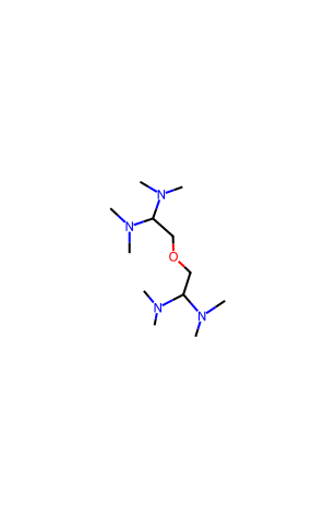 CN(C)C(COCC(N(C)C)N(C)C)N(C)C